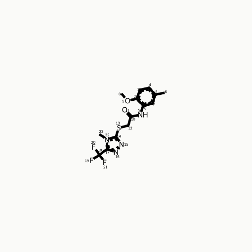 COc1ccc(C)cc1NC(=O)CSc1nnc(C(F)(F)F)n1C